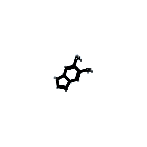 CC1=CC2N=CSC2C=C1C